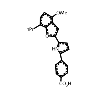 CCCc1ccc(OC)c2cc(-c3ccc(-c4ccc(C(=O)O)cc4)[nH]3)oc12